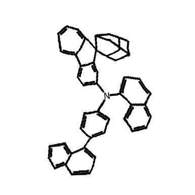 c1ccc2c(c1)-c1ccc(N(c3ccc(-c4cccc5ccccc45)cc3)c3cccc4ccccc34)cc1C21C2CC3CC(C2)CC1C3